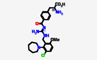 COc1ccc(Cl)c(N2CCCCCC2)c1CN/C(N)=N/C(=O)c1ccc(C[C@H](N)C(=O)O)cc1